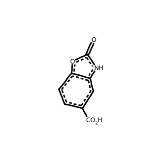 O=C(O)c1ccc2oc(=O)[nH]c2c1